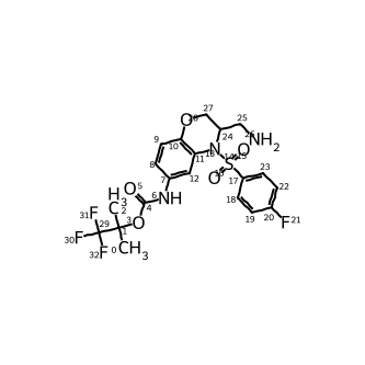 CC(C)(OC(=O)Nc1ccc2c(c1)N(S(=O)(=O)c1ccc(F)cc1)C(CN)CO2)C(F)(F)F